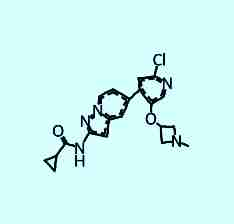 CN1CC(Oc2cnc(Cl)cc2-c2ccn3nc(NC(=O)C4CC4)cc3c2)C1